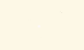 CCOC(=O)/C(O)=C/C(=O)c1cncc(Cl)c1